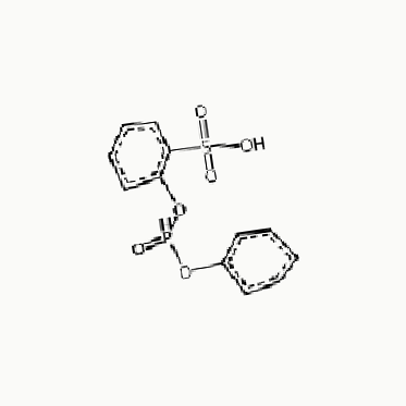 O=[PH](Oc1ccccc1)Oc1ccccc1S(=O)(=O)O